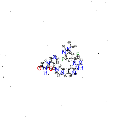 Cc1nc2c(F)cc(-c3nc(Nc4ccc(CN5CCN(Cc6ccncc6N6CCC(=O)NC6=O)CC5)cn4)ncc3F)cc2n1C(C)C